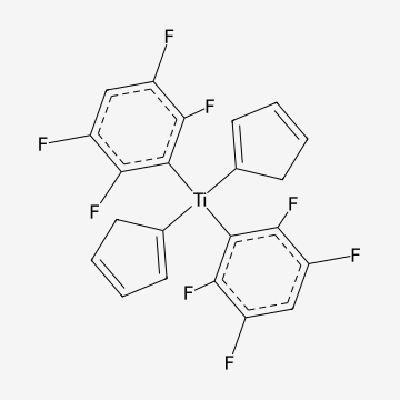 Fc1cc(F)c(F)[c]([Ti]([C]2=CC=CC2)([C]2=CC=CC2)[c]2c(F)c(F)cc(F)c2F)c1F